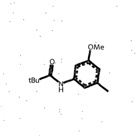 COc1cc(C)cc(NC(=O)C(C)(C)C)c1